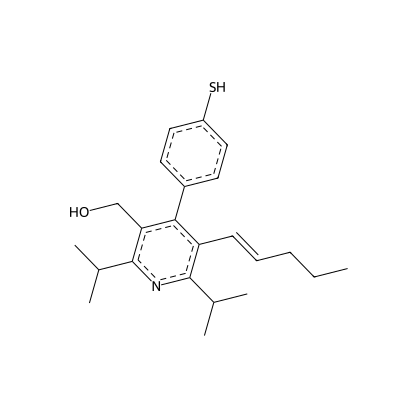 CCCC=Cc1c(C(C)C)nc(C(C)C)c(CO)c1-c1ccc(S)cc1